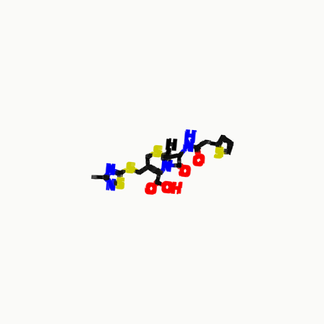 Cc1nsc(SCC2=C(C(=O)O)N3C(=O)C(NC(=O)Cc4cccs4)[C@H]3SC2)n1